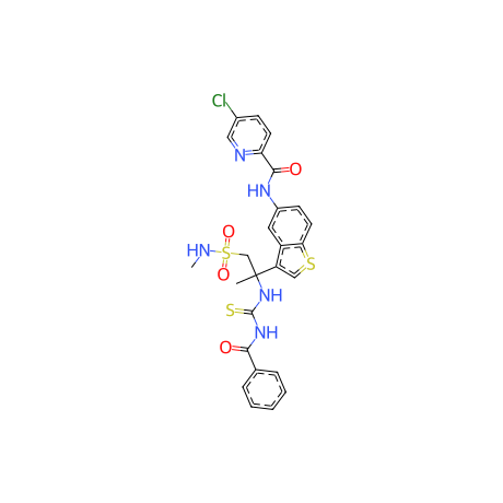 CNS(=O)(=O)CC(C)(NC(=S)NC(=O)c1ccccc1)c1csc2ccc(NC(=O)c3ccc(Cl)cn3)cc12